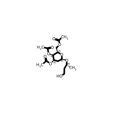 CC(=O)OC[C@H]1O[C@@H](O[C@H](C)CCO)C[C@@H](OC(C)=O)[C@H]1OC(C)=O